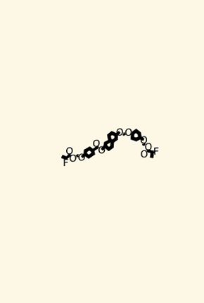 C=C(F)C(=O)OCOc1ccc(OCOc2ccc3cc(OC(=O)c4ccc(OCOC(=O)C(=C)F)cc4)ccc3c2)cc1